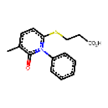 Cc1ccc(SCCC(=O)O)n(-c2ccccc2)c1=O